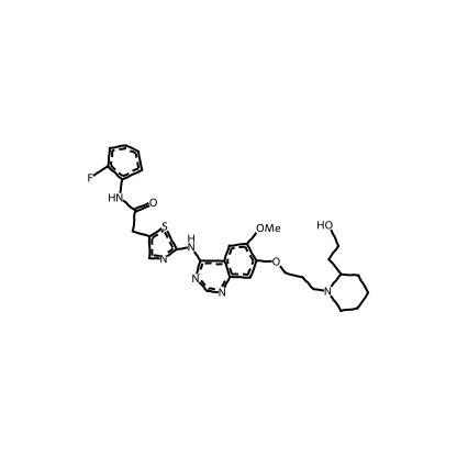 COc1cc2c(Nc3ncc(CC(=O)Nc4ccccc4F)s3)ncnc2cc1OCCCN1CCCCC1CCO